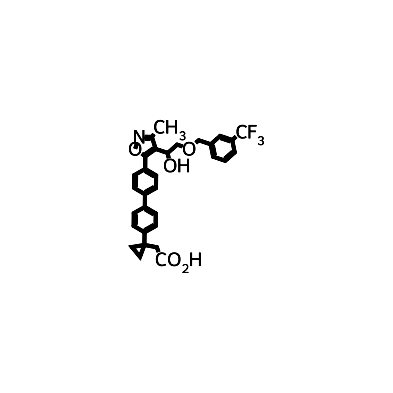 Cc1noc(-c2ccc(-c3ccc(C4(CC(=O)O)CC4)cc3)cc2)c1C(O)COCc1cccc(C(F)(F)F)c1